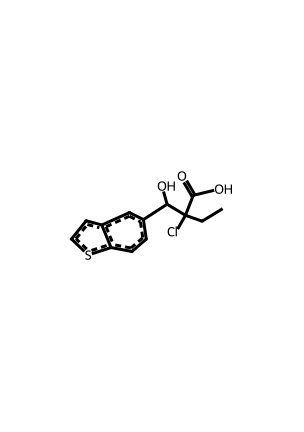 CCC(Cl)(C(=O)O)C(O)c1ccc2sccc2c1